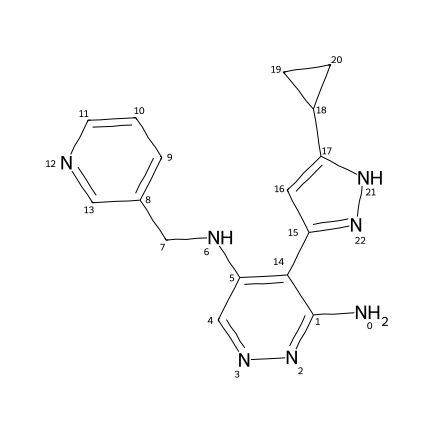 Nc1nncc(NCc2cccnc2)c1-c1cc(C2CC2)[nH]n1